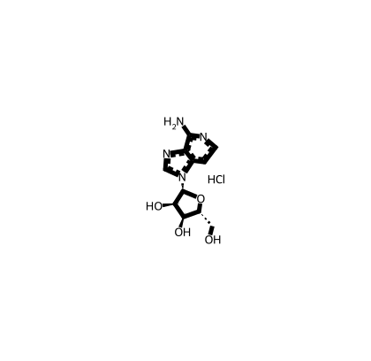 Cl.Nc1nccc2c1ncn2[C@@H]1O[C@H](CO)[C@@H](O)[C@H]1O